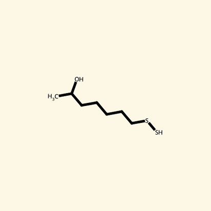 CC(O)CCCCCSS